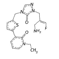 CCn1cccc(-c2ccc(Cn3cnn(C/C(=C/F)CN)c3=O)s2)c1=O